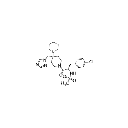 CS(=O)(=O)N[C@H](Cc1ccc(Cl)cc1)C(=O)N1CCC(Cn2cncn2)(N2CCCCC2)CC1